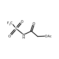 CC(=O)OCC(=O)NS(=O)(=O)C(F)(F)F